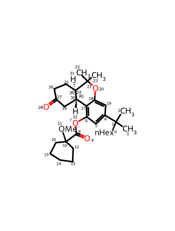 CCCCCCC(C)(C)c1cc(OC(=O)C2(OC)CCCCC2)c2c(c1)OC(C)(C)[C@@H]1CCC(=O)C[C@@H]21